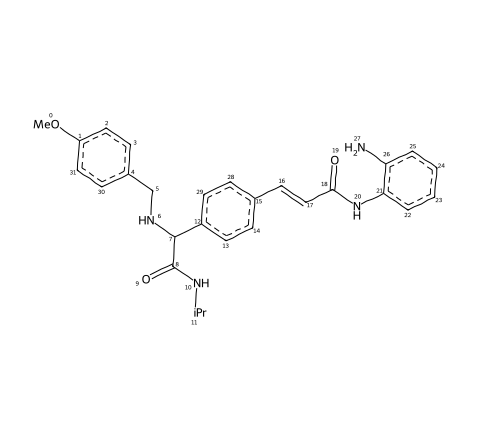 COc1ccc(CNC(C(=O)NC(C)C)c2ccc(C=CC(=O)Nc3ccccc3N)cc2)cc1